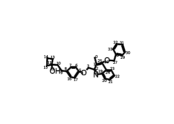 Cc1c(COc2ccc(CCC3(O)CCC3)cc2)nc2ccccc2c1OCc1ccccc1